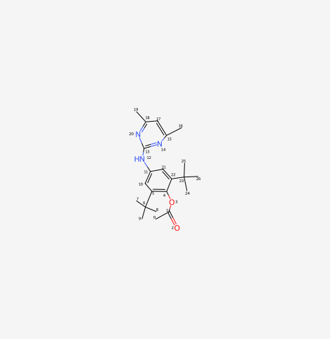 CC(=O)Oc1c(C(C)(C)C)cc(Nc2nc(C)cc(C)n2)cc1C(C)(C)C